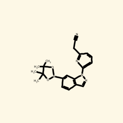 CC1(C)OB(c2ccc3cnn(-c4cccc(CC#N)n4)c3c2)OC1(C)C